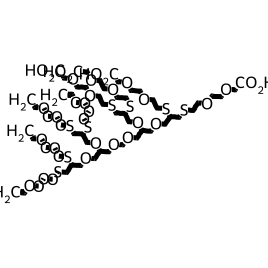 C=COOOOSCC(COCC(COCOCC(COCC(CSCCOCCOCC(=O)O)SCCOCCOCC(=O)O)OCC(CSCCOCCOCC(=O)O)SCCOCCOCC(=O)O)OCC(CSOOOOC=C)SOOOOC=C)SOOOOC=C